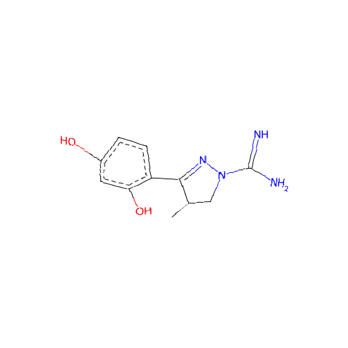 CC1CN(C(=N)N)N=C1c1ccc(O)cc1O